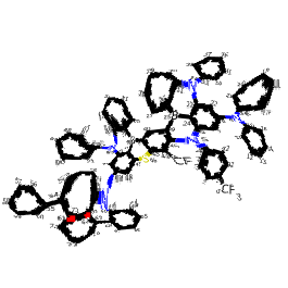 FC(F)(F)c1ccc(N2c3cc(N(c4ccccc4)c4ccccc4)cc4c3B(c3ccccc3N4c3ccccc3)c3cc4c(c(C(F)(F)F)c32)Sc2cc(N(c3ccc(-c5ccccc5)cc3)c3ccccc3-c3ccccc3)cc3c2B4c2ccccc2N3c2ccccc2)cc1